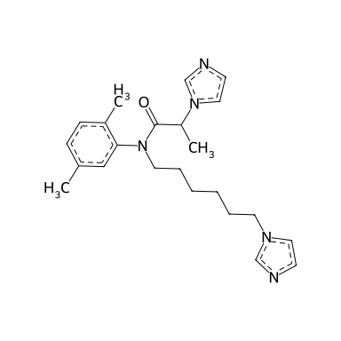 Cc1ccc(C)c(N(CCCCCCn2ccnc2)C(=O)C(C)n2ccnc2)c1